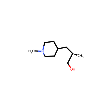 C[C@@H](CO)CC1CCN(C)CC1